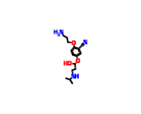 CC(C)NCCC(O)Oc1ccc(OCCCN)c(C#N)c1